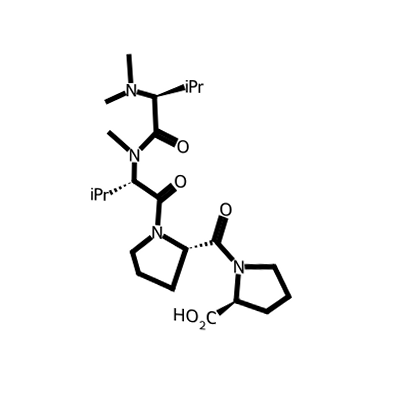 CC(C)[C@@H](C(=O)N(C)[C@H](C(=O)N1CCC[C@H]1C(=O)N1CCC[C@H]1C(=O)O)C(C)C)N(C)C